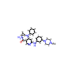 CC(=O)N1CCN(c2cccc(Nc3cc(N(c4ccccc4)C4CC4)c(C(N)=O)cn3)c2)CC1